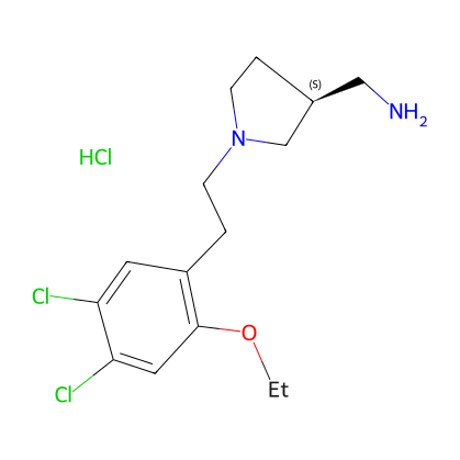 CCOc1cc(Cl)c(Cl)cc1CCN1CC[C@@H](CN)C1.Cl